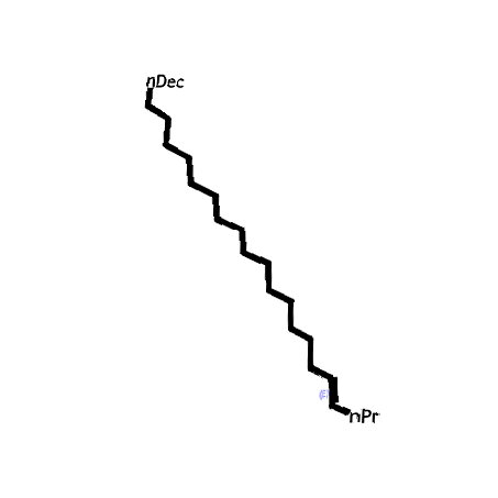 [CH2]CC/C=C/CCCCCCCCCCCCCCCCCCCCCCCC[CH2]